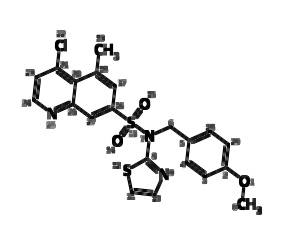 COc1ccc(CN(c2nccs2)S(=O)(=O)c2cc(C)c3c(Cl)ccnc3c2)cc1